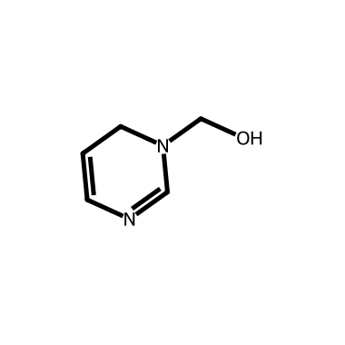 OCN1C=NC=CC1